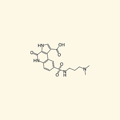 CN(C)CCCNS(=O)(=O)c1ccc2[nH]c(=O)c3[nH]cc(C(=O)O)c3c2c1